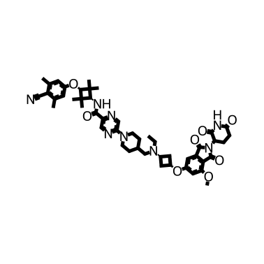 CCN(CC1CCN(c2cnc(C(=O)N[C@H]3C(C)(C)[C@H](Oc4cc(C)c(C#N)c(C)c4)C3(C)C)cn2)CC1)[C@H]1C[C@H](Oc2cc(OC)c3c(c2)C(=O)N(C2CCC(=O)NC2=O)C3=O)C1